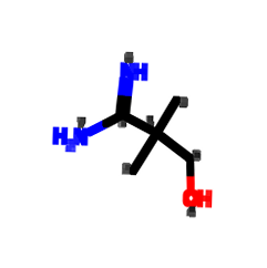 CC(C)(CO)C(=N)N